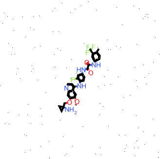 COc1cc2c(Nc3ccc(NC(=O)C(=O)Nc4ccc(C)c(C(F)(F)F)c4)cc3F)ccnc2cc1OCC1(N)CC1